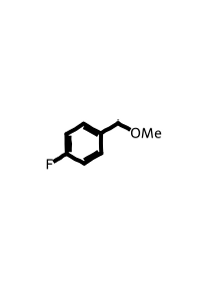 CO[CH]c1ccc(F)cc1